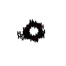 CCCC[C@H]1C(=O)N(C)[C@@H](CCCC)C(=O)N[C@@H](CCCNC(=N)N)C(=O)N[C@H](C(=O)NCC(N)=O)CSCC(=O)N[C@@H](Cc2ccccc2)C(=O)N(C)[C@@H](C)C(=O)N[C@@H](CC(N)=O)C(=O)N2CCC[C@H]2C(=O)N[C@@H](Cc2cnc[nH]2)C(=O)N[C@@H](CC(C)C)C(=O)N(C)CC(=O)N[C@@H](Cc2c[nH]c3ccccc23)C(=O)N[C@@H](CO)C(=O)N[C@@H](Cc2c[nH]c3ncccc23)C(=O)N1C